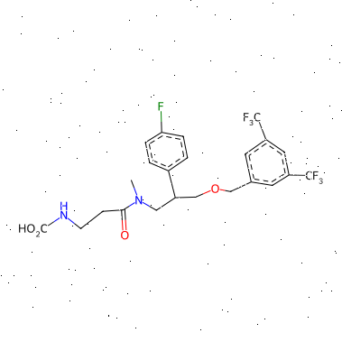 CN(CC(COCc1cc(C(F)(F)F)cc(C(F)(F)F)c1)c1ccc(F)cc1)C(=O)CCNC(=O)O